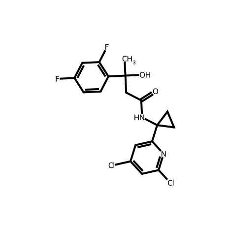 CC(O)(CC(=O)NC1(c2cc(Cl)cc(Cl)n2)CC1)c1ccc(F)cc1F